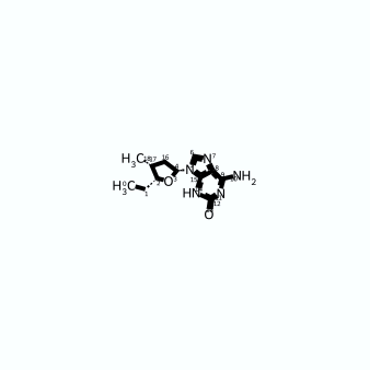 CC[C@H]1O[C@@H](n2cnc3c(N)nc(=O)[nH]c32)C[C@H]1C